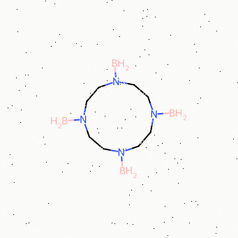 BN1CCN(B)CCN(B)CCN(B)CC1